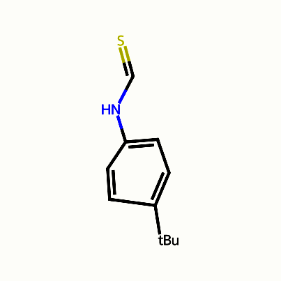 CC(C)(C)c1ccc(NC=S)cc1